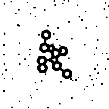 c1ccc(-c2ccc3c(c2)c2c4ccccc4c4sc5c(-c6ccccc6)cccc5c4c2n3-c2cccc3ccccc23)cc1